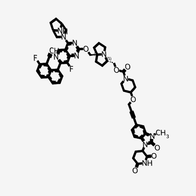 C#Cc1c(F)ccc2cccc(-c3ncc4c(N5CC6CCC(C5)N6)nc(OC[C@@]56CCCN5[C@H](COC(=O)N5CCC(OCC#Cc7ccc8c(c7)n(C)c(=O)n8C7CCC(=O)NC7=O)CC5)CC6)nc4c3F)c12